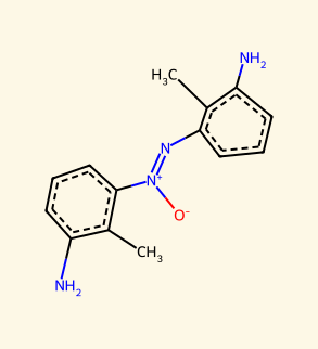 Cc1c(N)cccc1N=[N+]([O-])c1cccc(N)c1C